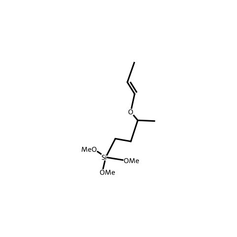 CC=COC(C)CC[Si](OC)(OC)OC